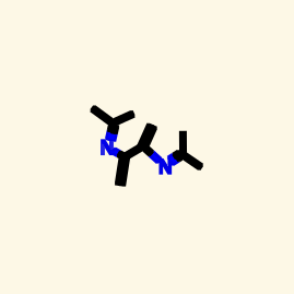 C=C(N=C(C)C)C(=C)N=C(C)C